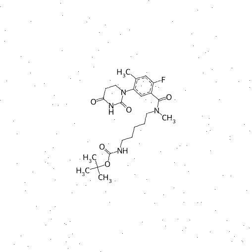 Cc1cc(F)c(C(=O)N(C)CCCCCNC(=O)OC(C)(C)C)cc1N1CCC(=O)NC1=O